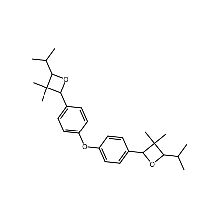 CC(C)C1OC(c2ccc(Oc3ccc(C4OC(C(C)C)C4(C)C)cc3)cc2)C1(C)C